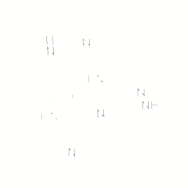 O=C(CC1CCNCC1)Nc1cncc(-c2ccc3[nH]nc(-c4cc5ccncc5[nH]4)c3n2)c1